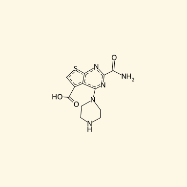 NC(=O)c1nc(N2CCNCC2)c2c(C(=O)O)csc2n1